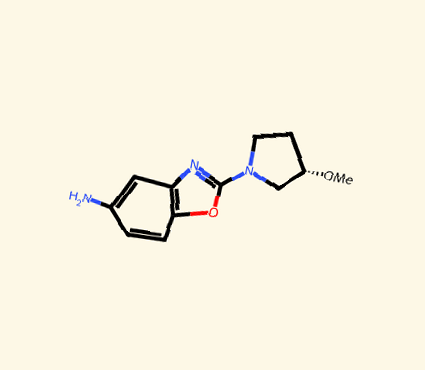 CO[C@H]1CCN(c2nc3cc(N)ccc3o2)C1